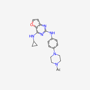 CC(=O)N1CCN(c2ccc(Nc3nc(NC4CC4)c4occc4n3)cc2)CC1